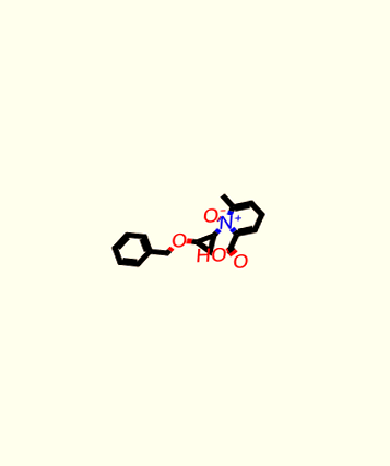 CC1=CCC=C(C(=O)O)[N+]1([O-])C1CC1OCc1ccccc1